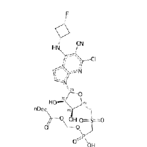 CCCCCCCCCCC(=O)OCOP(=O)(O)CS(=O)(=O)C[C@H]1O[C@@H](n2ccc3c(N[C@H]4C[C@@H](F)C4)c(C#N)c(Cl)nc32)[C@H](O)[C@@H]1O